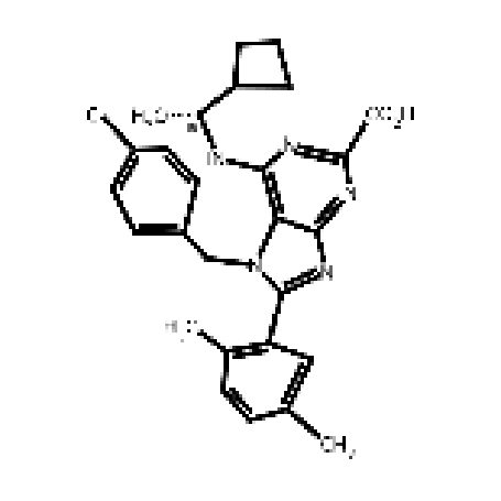 Cc1ccc(C)c(-c2nc3nc(C(=O)O)nc(N[C@H](C)C4CCC4)c3n2Cc2ccc(Cl)cc2)c1